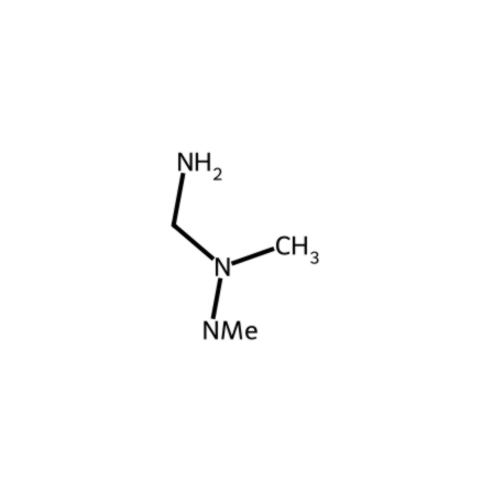 CNN(C)CN